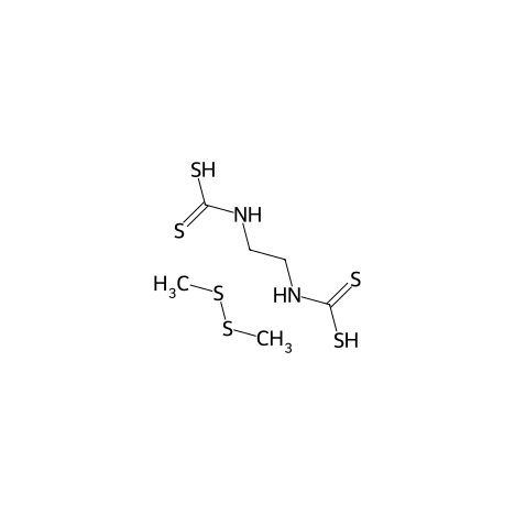 CSSC.S=C(S)NCCNC(=S)S